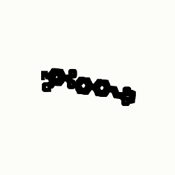 O=C(OC1CCC(C2CCC(CCC3OCCO3)CC2)CC1)c1ccc(F)c(Cl)c1